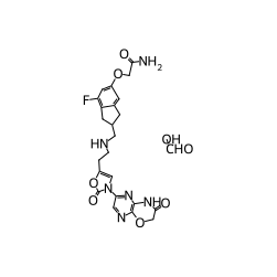 NC(=O)COc1cc(F)c2c(c1)CC(CNCCc1cn(-c3cnc4c(n3)NC(=O)CO4)c(=O)o1)C2.O=CO